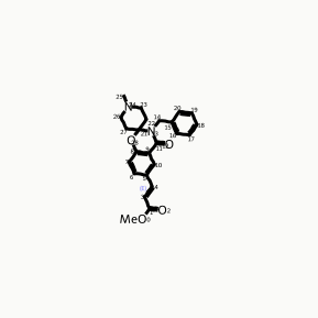 COC(=O)/C=C/c1ccc2c(c1)C(=O)N(Cc1ccccc1)C1(CCN(C)CC1)O2